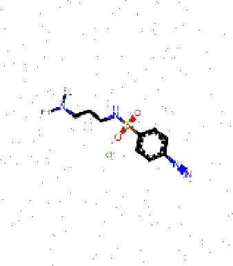 CCN(CC)CCCNS(=O)(=O)c1ccc([N+]#N)cc1.[Cl-]